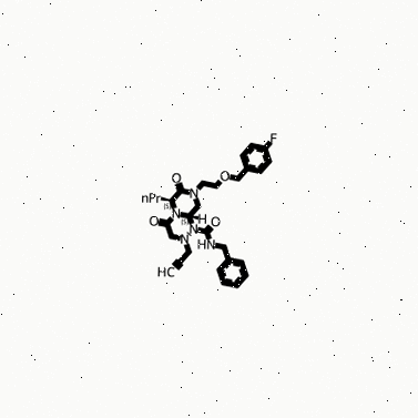 C#CCN1CC(=O)N2[C@@H](CCC)C(=O)N(CCOCc3ccc(F)cc3)C[C@@H]2N1C(=O)NCc1ccccc1